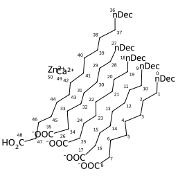 CCCCCCCCCCCCCCCCCC(=O)[O-].CCCCCCCCCCCCCCCCCC(=O)[O-].CCCCCCCCCCCCCCCCCC(=O)[O-].CCCCCCCCCCCCCCCCCC(=O)[O-].CCCCCCCCCCCCCCCCCCCCCC(=O)O.[Ca+2].[Zn+2]